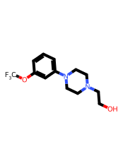 OCCN1CCN(c2cccc(OC(F)(F)F)c2)CC1